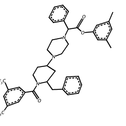 Cc1cc(C)cc(OC(=O)C(c2ccccc2)N2CCN(C3CCN(C(=O)c4cc(C(F)(F)F)cc(C(F)(F)F)c4)C(Cc4ccccc4)C3)CC2)c1